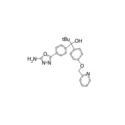 CC(C)(C)C(O)(c1ccc(OCc2ccccn2)cc1)c1ccc(-c2nnc(N)o2)cc1